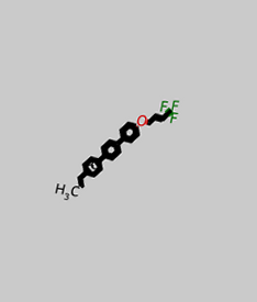 CCCC12CCC(c3ccc(-c4ccc(OC/C=C/C(F)(F)F)cc4)cc3)(CC1)CC2